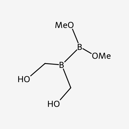 COB(OC)B(CO)CO